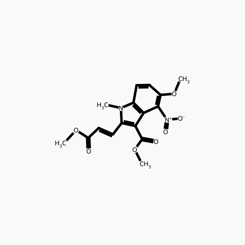 COC(=O)C=Cc1c(C(=O)OC)c2c([N+](=O)[O-])c(OC)ccc2n1C